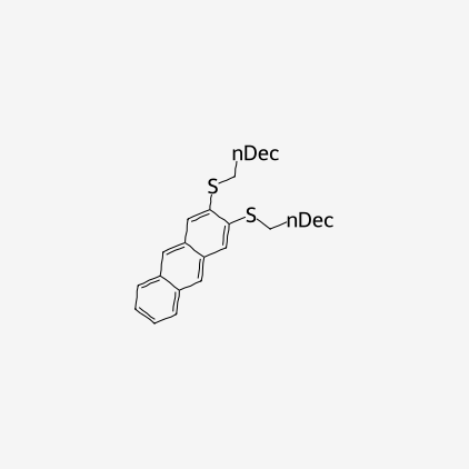 CCCCCCCCCCCSc1cc2cc3ccccc3cc2cc1SCCCCCCCCCCC